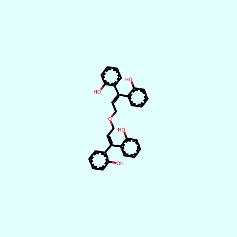 Oc1ccccc1C(=CCOCC=C(c1ccccc1O)c1ccccc1O)c1ccccc1O